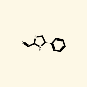 S=CC1N[C@@H](c2ccccc2)CS1